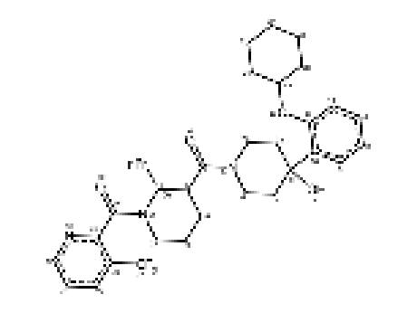 CCC[C@@H]1C(C(=O)N2CCC(O)(c3ccccc3OC3CCCCC3)CC2)CCCN1C(=O)c1ncccc1C(F)(F)F